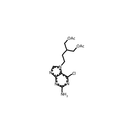 CC(=O)OCC(CCn1cnc2nc(N)nc(Cl)c21)COC(C)=O